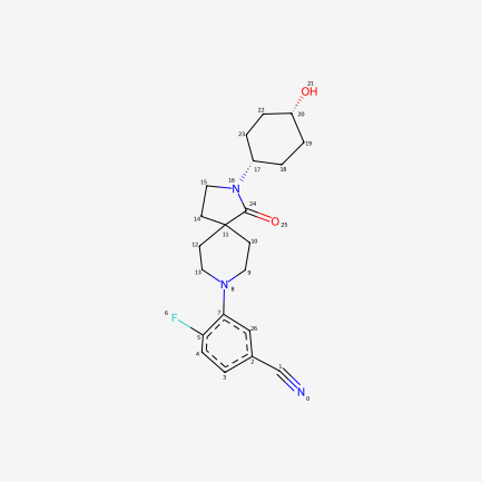 N#Cc1ccc(F)c(N2CCC3(CC2)CCN([C@H]2CC[C@@H](O)CC2)C3=O)c1